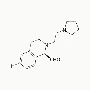 CC1CCCN1CCN1CCc2cc(I)ccc2[C@@H]1C=O